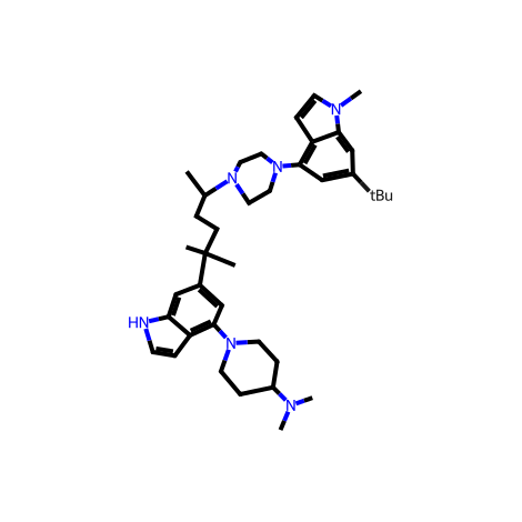 CC(CCC(C)(C)c1cc(N2CCC(N(C)C)CC2)c2cc[nH]c2c1)N1CCN(c2cc(C(C)(C)C)cc3c2ccn3C)CC1